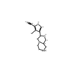 Cc1c(C2CN3CCNCC3CO2)csc1C#N